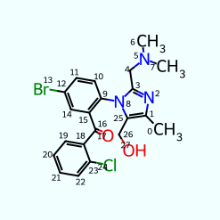 Cc1nc(CN(C)C)n(-c2ccc(Br)cc2C(=O)c2ccccc2Cl)c1CO